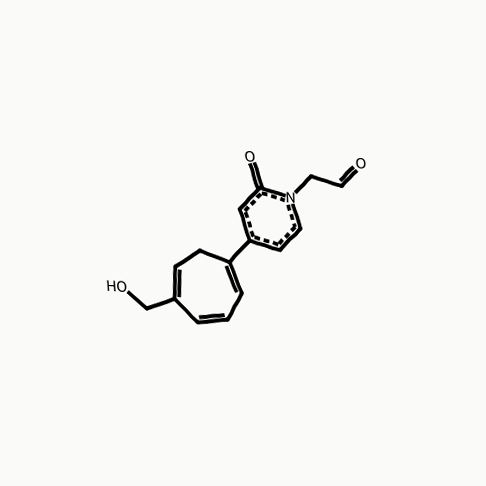 O=CCn1ccc(C2=CC=CC(CO)=CC2)cc1=O